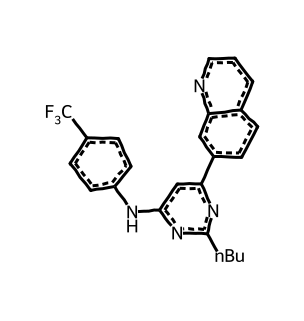 CCCCc1nc(Nc2ccc(C(F)(F)F)cc2)cc(-c2ccc3cccnc3c2)n1